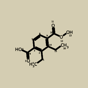 CCc1c(C(=O)O)ccc(C(=O)OO)c1CC